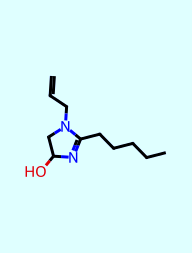 C=CCN1CC(O)N=C1CCCCC